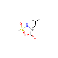 CC(C)C[C@H](NS(C)(=O)=O)C(=O)O